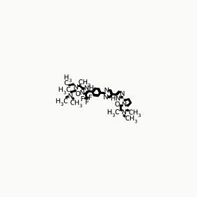 CCCN(C(=O)[C@H](C)N(CC)CC)[C@@H](C)c1nc(C(F)(F)F)c(-c2ccc(-c3ncc(-c4cnc([C@@H]5CCCN5C(=O)[C@@H](C)N(CC)CC)[nH]4)cn3)cc2)[nH]1